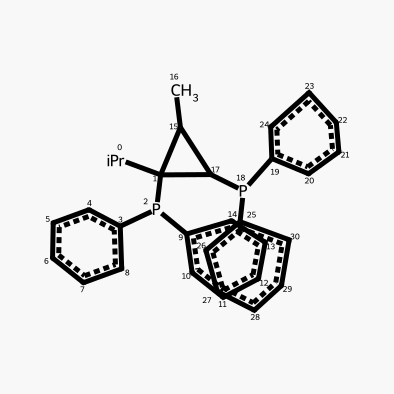 CC(C)C1(P(c2ccccc2)c2ccccc2)C(C)C1P(c1ccccc1)c1ccccc1